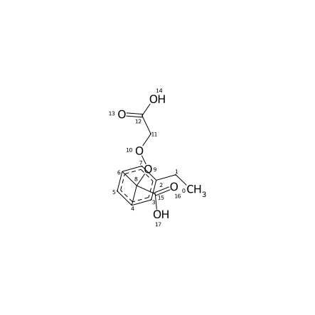 CCc1cc2cc(c1)C2(OOCC(=O)O)C(=O)O